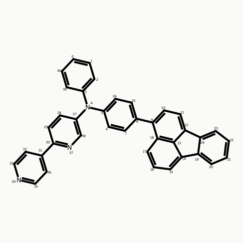 c1ccc(N(c2ccc(-c3ccc4c5c(cccc35)-c3ccccc3-4)cc2)c2ccc(-c3ccncc3)nc2)cc1